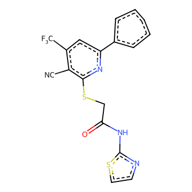 N#Cc1c(C(F)(F)F)cc(-c2ccccc2)nc1SCC(=O)Nc1nccs1